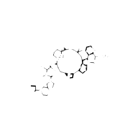 C=CC(=O)N1CCO[C@@]2(CCN(C(=O)N(C)C(C(=O)N[C@H]3Cc4nc(cs4)-c4ccc5c(c4)c(c(-c4cccnc4[C@H](C)OC)n5CC(F)(F)F)CC(C)(C)COC(=O)[C@@H]4CCCN(N4)C3=O)C(C)C)C2)C1